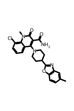 Cc1ccc2oc(C3CCN(c4c(C(N)=O)c(=O)n(C)c5c(Cl)cccc45)CC3)nc2c1